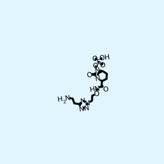 NCCc1nnn(CCONC(=O)C2CCC3CN2C(=O)N3OS(=O)(=O)O)n1